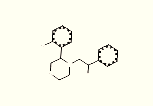 Nc1ccccc1C1CNCCN1CC(O)c1ccccc1